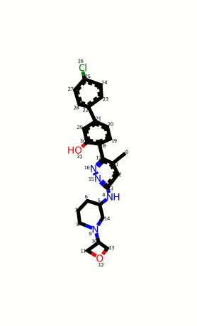 Cc1cc(NC2CCCN(C3COC3)C2)nnc1-c1ccc(-c2ccc(Cl)cc2)cc1O